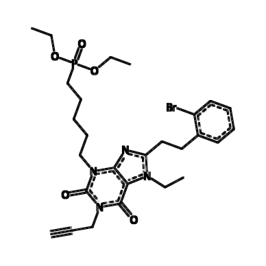 C#CCn1c(=O)c2c(nc(CCc3ccccc3Br)n2CC)n(CCCCCP(=O)(OCC)OCC)c1=O